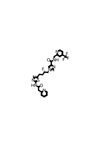 O=C(Cc1ccccn1)Nc1nnc(CC[C@H](F)Cn2cc(C(=O)NCc3cc(C(F)(F)F)ccn3)nn2)s1